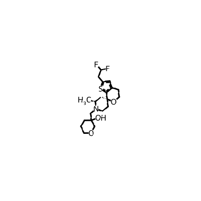 C[C@H]1C[C@@]2(CCN1CC1(O)CCCOC1)OCCc1cc(CC(F)F)sc12